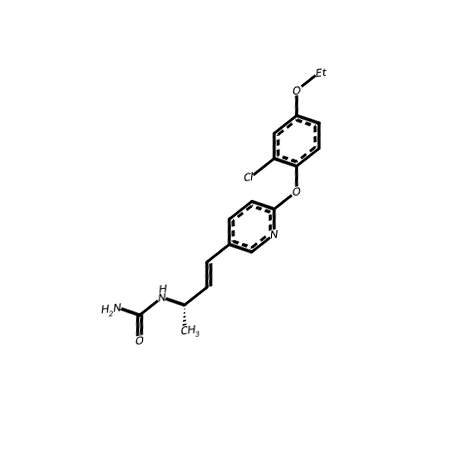 CCOc1ccc(Oc2ccc(/C=C/[C@H](C)NC(N)=O)cn2)c(Cl)c1